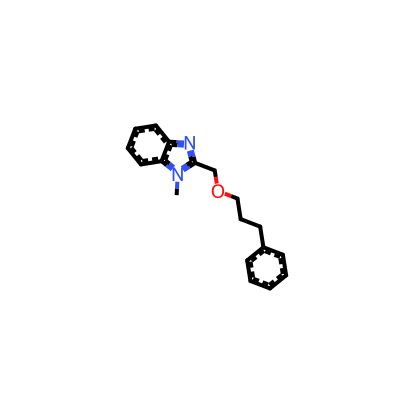 Cn1c(COCCCc2ccccc2)nc2ccccc21